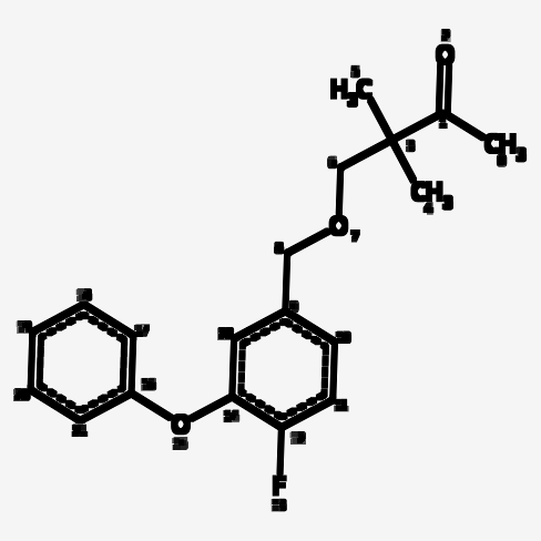 CC(=O)C(C)(C)COCc1ccc(F)c(Oc2ccccc2)c1